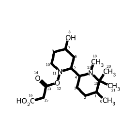 CC1CCC(C2CC(O)CCN2OC(=O)CC(=O)O)N(C)C1(C)C